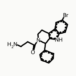 NCCC(=O)N1CCc2c([nH]c3ccc(Br)cc23)C1c1ccccc1